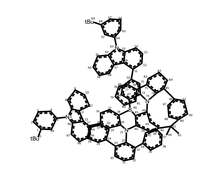 CC(C)(C)c1cccc(-n2c3ccccc3c3c(-c4ccc5c(c4)N(c4c(-c6ccccc6)cccc4-c4ccccc4)c4cc6cc7c4B5c4ccc(-c5cccc8c5c5ccccc5n8-c5cccc(C(C)(C)C)c5)cc4N7c4c(-c5ccccc5)cccc4-c4ccc(cc4)C6(C)C)cccc32)c1